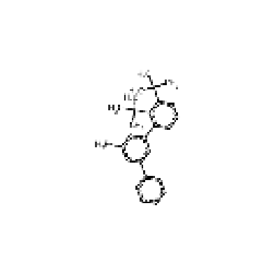 CC(C)(C)c1cccc(-c2cc(P)cc(-c3ccccc3)c2)c1C(C)(C)C